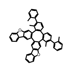 Cc1ccccc1-c1ccc2c(c1C)-c1cc3oc4ccccc4c3cc1-c1cc3c(cc1-c1c-2ccc(-c2ccccc2C)c1C)oc1ccccc13